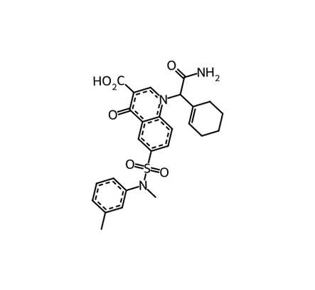 Cc1cccc(N(C)S(=O)(=O)c2ccc3c(c2)c(=O)c(C(=O)O)cn3C(C(N)=O)C2=CCCCC2)c1